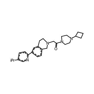 CC(C)c1ccc(-c2ccc3c(c2)CCN(CC(=O)N2CCN(C4CCC4)CC2)C3)nc1